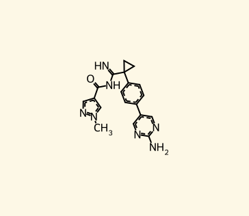 Cn1cc(C(=O)NC(=N)C2(c3ccc(-c4cnc(N)nc4)cc3)CC2)cn1